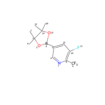 CC1(C)OB(c2cnc(C(F)(F)F)c(F)c2)OC1(C)C